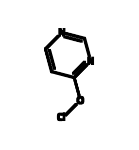 ClOc1ccncn1